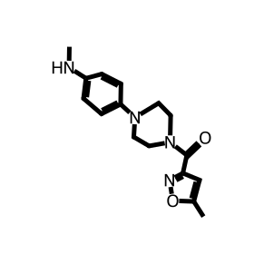 CNc1ccc(N2CCN(C(=O)c3cc(C)on3)CC2)cc1